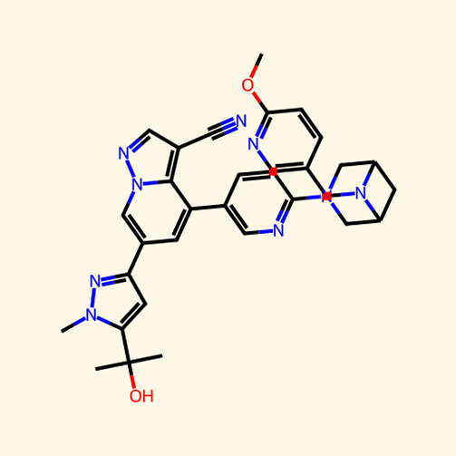 COc1ccc(CN2C3CC2CN(c2ccc(-c4cc(-c5cc(C(C)(C)O)n(C)n5)cn5ncc(C#N)c45)cn2)C3)cn1